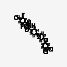 O=C(NS(=O)(=O)c1cc(F)c(Cl)cc1F)[C@H]1CC[C@H](N2CCC(Oc3ccc(Cl)c(Cl)c3)CC2)CC1